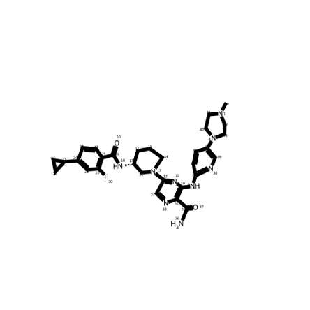 CN1CCN(c2ccc(Nc3nc(N4CCC[C@@H](NC(=O)c5ccc(C6CC6)cc5F)C4)cnc3C(N)=O)nc2)CC1